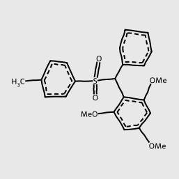 COc1cc(OC)c(C(c2ccccc2)S(=O)(=O)c2ccc(C)cc2)c(OC)c1